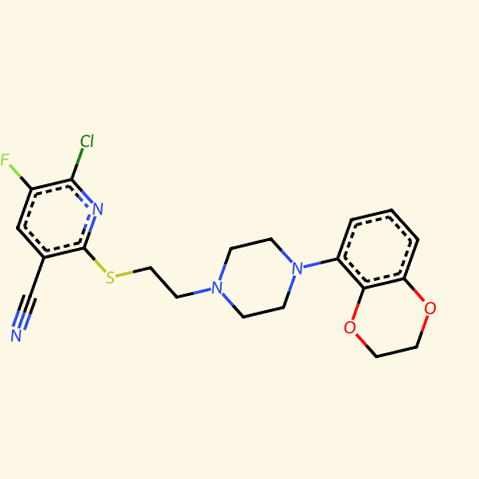 N#Cc1cc(F)c(Cl)nc1SCCN1CCN(c2cccc3c2OCCO3)CC1